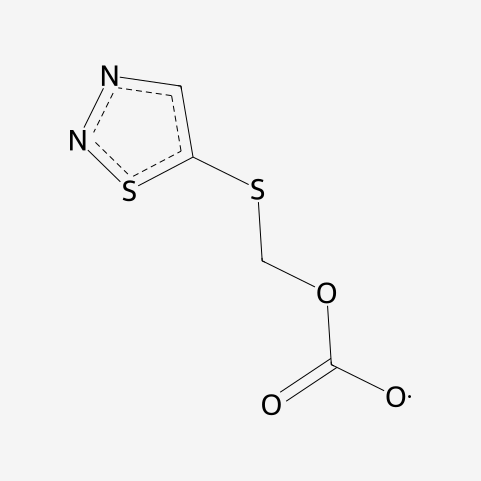 [O]C(=O)OCSc1cnns1